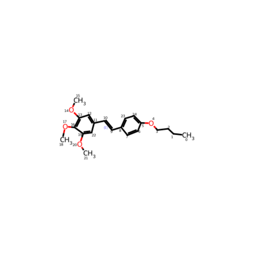 CCCCOc1ccc(/C=C/c2cc(OC)c(OC)c(OC)c2)cc1